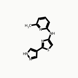 Cc1cccc(Nc2csc(-c3cn[nH]c3)n2)n1